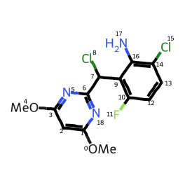 COc1cc(OC)nc(C(Cl)c2c(F)ccc(Cl)c2N)n1